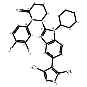 Cc1noc(C)c1-c1ccc2c(c1)nc([C@@H]1CCCC(=O)N1c1ccc(F)c(F)c1)n2C1CCCCC1